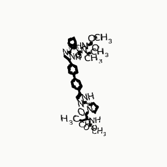 COC(=O)N[C@H](C(=O)N1CCC[C@H]1c1ncc(-c2ccc(-c3ccc(-c4cnc([C@H]5C6C=CC(C6)[C@H]5C(=O)N(NC(=O)OC)C(C)C)[nH]4)cc3)cc2)[nH]1)C(C)C